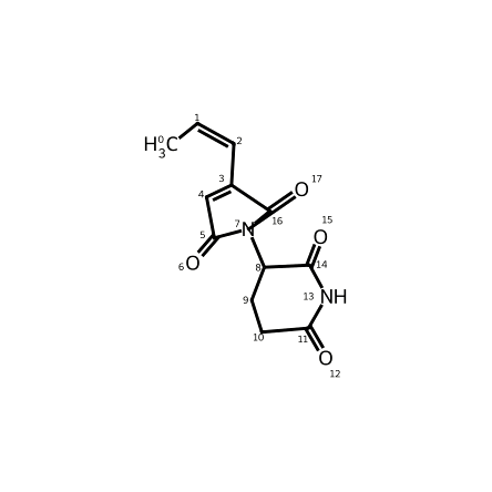 C/C=C\C1=CC(=O)N(C2CCC(=O)NC2=O)C1=O